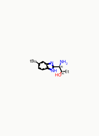 CC[C@@H](O)[C@H](N)c1nc2cc(C(C)(C)C)ccc2[nH]1